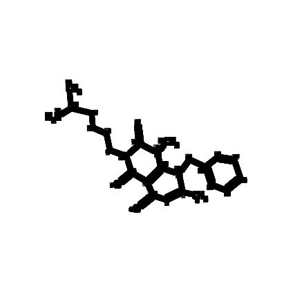 Cc1cc(=O)c2c(=O)n(CCCCC(C)N)c(=O)n(C)c2n1Cc1ccccc1